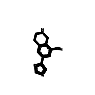 CC(C)(C)c1cc(-c2cnco2)cc2c1CNCC2